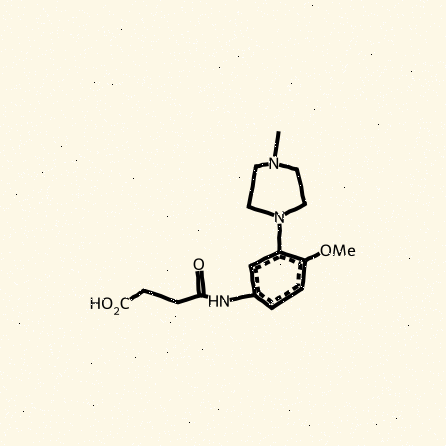 COc1ccc(NC(=O)CCC(=O)O)cc1N1CCN(C)CC1